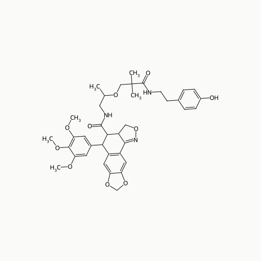 COc1cc(C2c3cc4c(cc3C3=NOCC3C2C(=O)NCC(C)OCC(C)(C)C(=O)NCCc2ccc(O)cc2)OCO4)cc(OC)c1OC